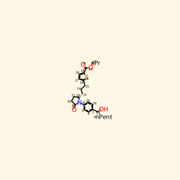 CCCCC[C@@H](O)c1ccc(N2C(=O)CC[C@@H]2CCCc2ccc(C(=O)OCCC)s2)cc1